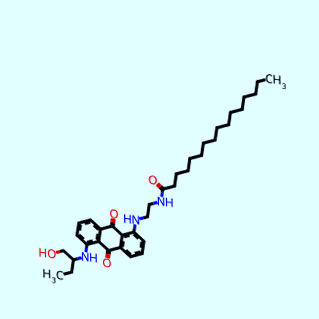 CCCCCCCCCCCCCCCC(=O)NCCNc1cccc2c1C(=O)c1cccc(NC(CC)CO)c1C2=O